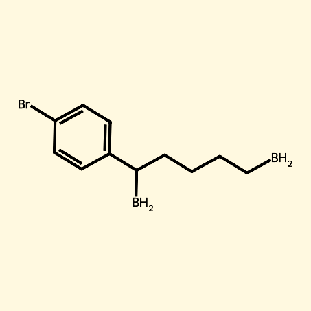 BCCCCC(B)c1ccc(Br)cc1